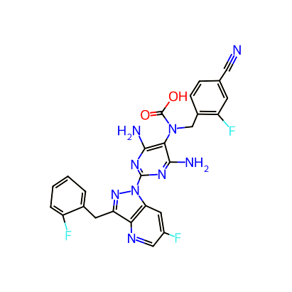 N#Cc1ccc(CN(C(=O)O)c2c(N)nc(-n3nc(Cc4ccccc4F)c4ncc(F)cc43)nc2N)c(F)c1